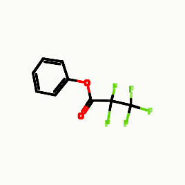 O=C(Oc1ccccc1)C(F)(F)C(F)(F)F